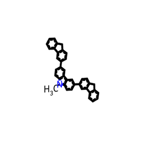 Cn1c2ccc(-c3ccc4c(c3)-c3ccccc3C4)cc2c2cc(-c3ccc4c(c3)-c3ccccc3C4)ccc21